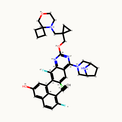 C#Cc1c(F)ccc2cc(O)cc(-c3c(Cl)cc4c(N5CC6CCC(C5)N6)nc(OCC5(CN6CCOCC67CCC7)CC5)nc4c3F)c12